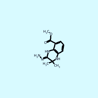 COC(=O)c1cccc2c1N/C(=N\N)C(C)(C)N2